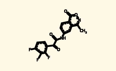 Cc1noc(=O)c2ccc(NC(=O)C(=O)c3ccc(F)c(F)c3F)cc12